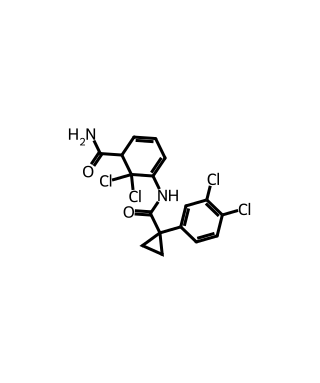 NC(=O)C1C=CC=C(NC(=O)C2(c3ccc(Cl)c(Cl)c3)CC2)C1(Cl)Cl